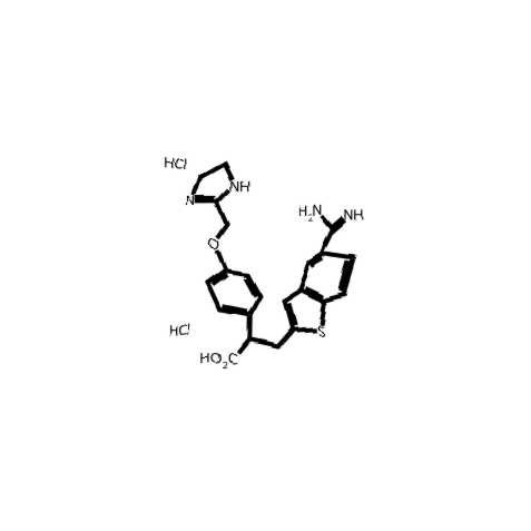 Cl.Cl.N=C(N)c1ccc2sc(CC(C(=O)O)c3ccc(OCC4=NCCN4)cc3)cc2c1